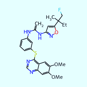 C=C(Nc1cccc(Sc2ncnc3cc(OC)c(OC)cc23)c1)Nc1cc(C(C)(CC)CF)on1